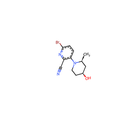 C[C@H]1C[C@@H](O)CCN1c1ccc(Br)nc1C#N